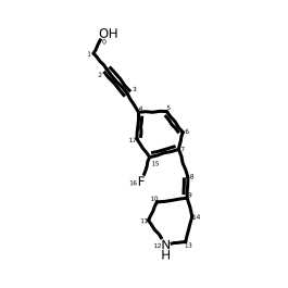 OCC#Cc1ccc(C=C2CCNCC2)c(F)c1